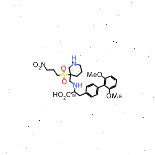 COc1cccc(OC)c1-c1ccc(C[C@H](NCC2(S(=O)(=O)CCC[N+](=O)[O-])CCCNC2)C(=O)O)cc1